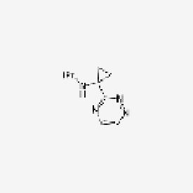 CC(C)NC1(c2nccnn2)CC1